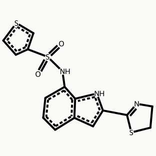 O=S(=O)(Nc1cccc2cc(C3=NCCS3)[nH]c12)c1ccsc1